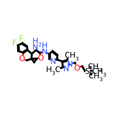 Cc1nn(COCC[Si](C)(C)C)c(C)c1-c1ccc(NC(=O)[C@@H](N)C2c3cc(F)c(F)cc3OCC23CC3)cn1